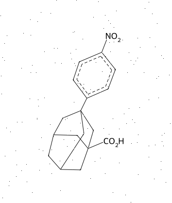 O=C(O)C12CC3CC(C1)CC(c1ccc([N+](=O)[O-])cc1)(C3)C2